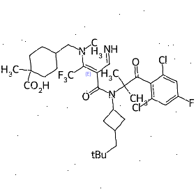 CN(CC1CCC(C)(C(=O)O)CC1)/C(=C(\C=N)C(=O)N(C1CC(CC(C)(C)C)C1)C(C)(C)C(=O)c1c(Cl)cc(F)cc1Cl)C(F)(F)F